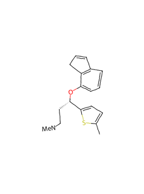 CNCC[C@H](Oc1cccc2c1CC=C2)c1ccc(C)s1